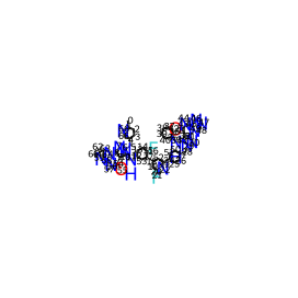 Cc1ccc(Cn2nc3c(c2Nc2ccc(F)c(-c4cc(F)nc(-c5ccc(Cn6nc7c(c6Nc6ccccc6)c(=O)n(C)c6nncn76)cc5)c4)c2)C(=O)N(C)C2=NC(C)(C)CN23)cn1